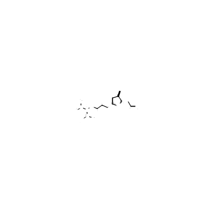 C=C1C[C@H](CCCOP(P(P)P)P(P)P)O[C@H]1CCC(C)(C)C